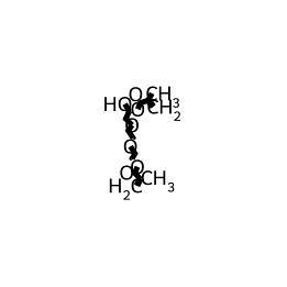 C=C(C)C(=O)OCCOCCOCC(O)OC(=O)C(=C)C